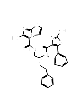 Cc1nc(C(=O)N(C)[C@H](CCc2ccccc2)CNC(=O)c2c(C)nc3sccn23)c(-c2ccccc2)s1